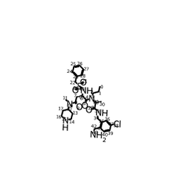 CCCN(C(=O)[C@@H](CC(=O)N(C)C1CCNCC1)NS(=O)(=O)Cc1ccccc1)[C@@H](C)C(=O)NCc1cc(Cl)ccc1CN